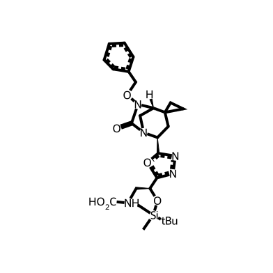 CC(C)(C)[Si](C)(C)O[C@@H](CNC(=O)O)c1nnc([C@@H]2CC3(CC3)[C@@H]3CN2C(=O)N3OCc2ccccc2)o1